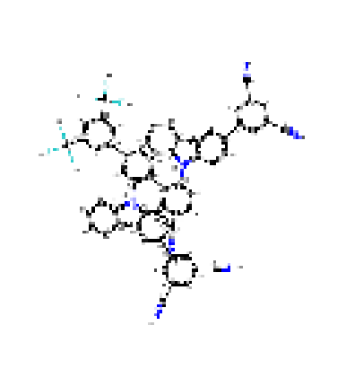 N#Cc1cc(C#N)cc(-c2ccc3c(c2)c2ccccc2n3-c2ccc(C#N)cc2-c2ccc(-c3cc(C(F)(F)F)cc(C(F)(F)F)c3)cc2-n2c3ccccc3c3cc(-c4cc(C#N)cc(C#N)c4)ccc32)c1